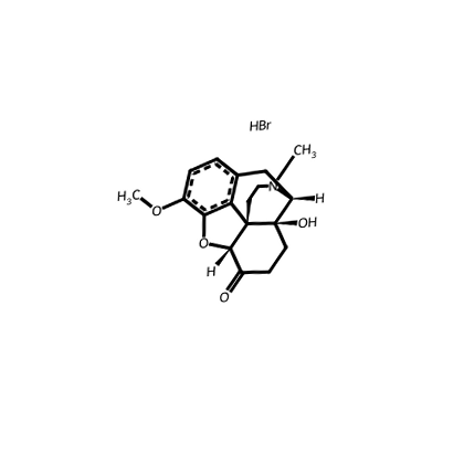 Br.COc1ccc2c3c1O[C@H]1C(=O)CC[C@@]4(O)[C@@H](C2)N(C)CC[C@]314